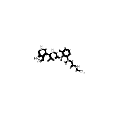 CC1=C(C2=c3cn[nH]c3=CNC2)NCC(N(C=O)c2c(C)cccc2N(C)CC(=O)NCC(F)(F)F)=N1